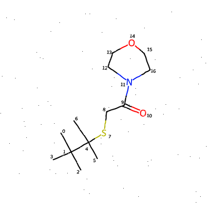 CC(C)(C)C(C)(C)SCC(=O)N1CCOCC1